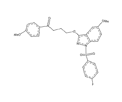 COc1ccc(C(=O)CCCOc2nn(S(=O)(=O)c3ccc(F)cc3)c3ccc(OC)cc23)cc1